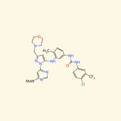 CNc1cc(-n2nc(CN3CCOCC3)cc2Nc2cc(NC(=O)Nc3ccc(Cl)c(C(F)(F)F)c3)ccc2C)ncn1